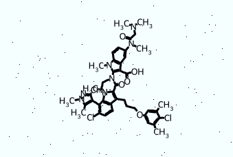 Cc1cc(OCCCc2c3n(c4c(-c5c(C)nn(C)c5C)c(Cl)ccc24)[C@H](C)CN(c2c(C(=O)O)c4cc(N(C)C(=O)CN(C)C)ccc4n2C)C3=O)cc(C)c1Cl